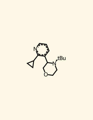 CC(C)(C)N1CCOCC1c1cccnc1C1CC1